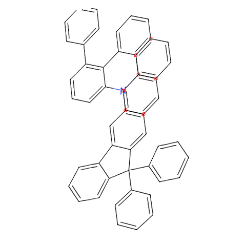 c1ccc(-c2ccccc2-c2c(-c3ccccc3)cccc2N(c2ccccc2)c2ccc3c(c2)-c2ccccc2C3(c2ccccc2)c2ccccc2)cc1